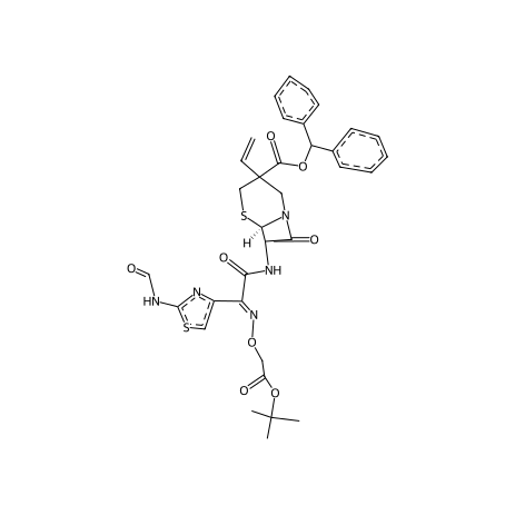 C=CC1(C(=O)OC(c2ccccc2)c2ccccc2)CS[C@@H]2C(NC(=O)C(=NOCC(=O)OC(C)(C)C)c3csc(NC=O)n3)C(=O)N2C1